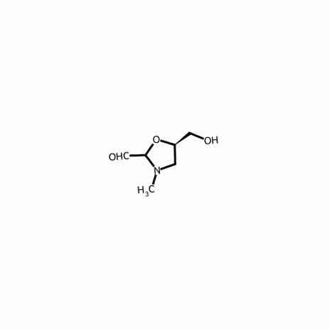 CN1C[C@H](CO)OC1C=O